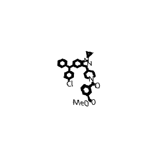 COC(=O)c1cccc(C(=O)N2CCC(c3nn(C4CC4)c4ccc(C(c5ccccc5)c5ccc(Cl)cc5)cc34)CC2)c1